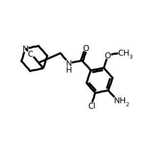 COc1cc(N)c(Cl)cc1C(=O)NCC1CN2CCC1CC2